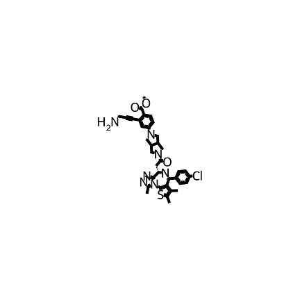 COC(=O)c1ccc(N2CC3CN(C(=O)C[C@@H]4N=C(c5ccc(Cl)cc5)c5c(sc(C)c5C)-n5c(C)nnc54)CC3C2)cc1C#CCN